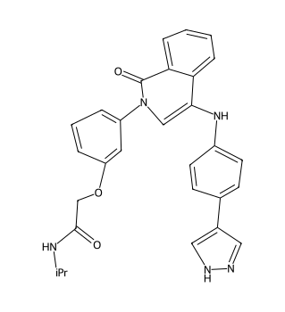 CC(C)NC(=O)COc1cccc(-n2cc(Nc3ccc(-c4cn[nH]c4)cc3)c3ccccc3c2=O)c1